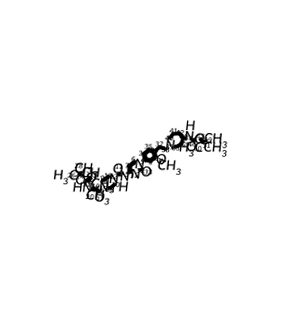 COc1cc(-n2ccc(NC(=O)N3CCN(C(=O)C(C)(C)NC(=O)OC(C)(C)C)CC3)nc2=O)ccc1CCN1CCCC(NC(=O)OC(C)(C)C)CC1